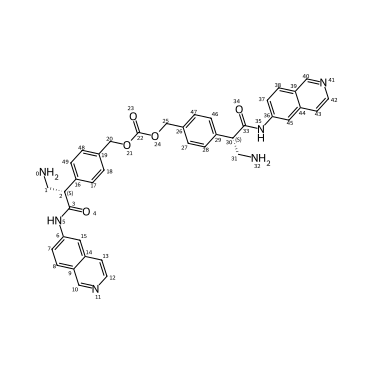 NC[C@@H](C(=O)Nc1ccc2cnccc2c1)c1ccc(COC(=O)OCc2ccc([C@@H](CN)C(=O)Nc3ccc4cnccc4c3)cc2)cc1